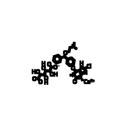 CN(C)CCOC(c1ccccc1)c1ccccc1.Cn1c(=O)c2[nH]c(Cl)nc2n(C)c1=O.O=C([O-])[C@@H](O)[C@@H](O)[C@H](O)[C@@H](O)C(=O)[O-].[Ca+2]